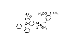 COC(=O)c1cc(NC(=O)N(C)CCc2ccc(OC)c(OC)c2)ccc1OC(c1ccccc1)c1ccccc1